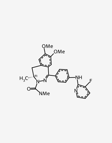 CNC(=O)N1N=C(c2ccc(Nc3ncccc3F)cc2)c2cc(OC)c(OC)cc2C[C@H]1C